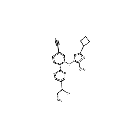 Cn1nc(C2CCC2)cc1Oc1cc(C#N)ccc1-c1ncc(C(O)CN)cn1